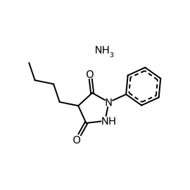 CCCCC1C(=O)NN(c2ccccc2)C1=O.N